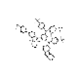 CC(C)(C)c1ccc(-c2ccc3c(c2)C2(C)CCCCC2(C)N3c2cc3c4c(c2)N(c2ccc5sc6ccccc6c5c2)c2ccc(C(C)(C)C)cc2B4c2cc(C(C)(C)C)ccc2N3c2ccc(C(C)(C)C)cc2)cc1